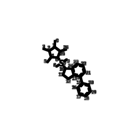 CC1C(C)C(C)C(S(C)(C)C2CCc3c(-c4ccccc4)cccc32)C1C